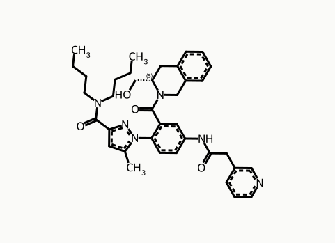 CCCCN(CCCC)C(=O)c1cc(C)n(-c2ccc(NC(=O)Cc3cccnc3)cc2C(=O)N2Cc3ccccc3C[C@H]2CO)n1